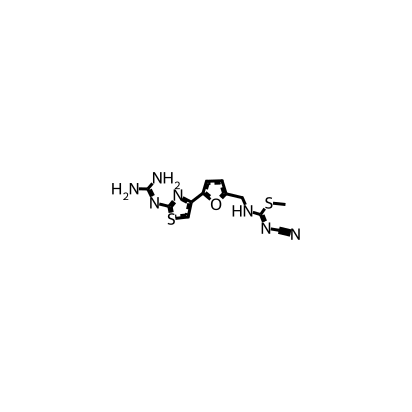 CSC(=NC#N)NCc1ccc(-c2csc(N=C(N)N)n2)o1